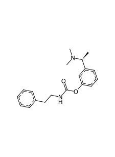 C[C@@H](c1cccc(OC(=O)NCCc2ccccc2)c1)N(C)C